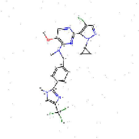 COc1cnc(-c2c(Cl)cnn2C2CC2)nc1N(C)Cc1ccc(-c2nc(C(F)(F)F)cn2C)cc1